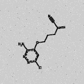 C=C(C#N)CCCOc1cc(Cl)nnc1N